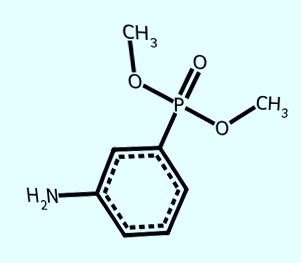 COP(=O)(OC)c1cccc(N)c1